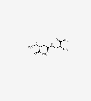 CNC(CC(=O)NCC(C)C(C)=O)C(C)=O